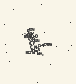 COCCOc1nc(N)c2nc(O)n(Cc3cccc(CP(=O)(NC(C)C(=O)OC(C)(C)C)NC(C)C(=O)OC(C)(C)C)c3)c2n1